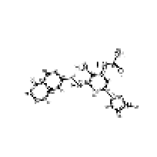 Cn1cc(-c2cc(NC(=O)O)c(N)c(NCc3ccc4ncccc4c3)n2)cn1